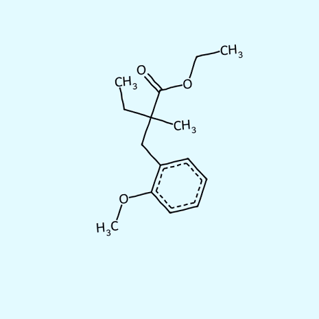 CCOC(=O)C(C)(CC)Cc1ccccc1OC